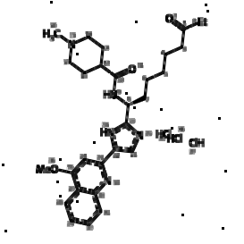 CCC(=O)CCCCC[C@H](NC(=O)C1CCN(C)CC1)c1ncc(-c2cc(OC)c3ccccc3n2)[nH]1.Cl.Cl.Cl